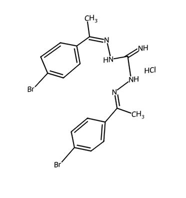 CC(=NNC(=N)NN=C(C)c1ccc(Br)cc1)c1ccc(Br)cc1.Cl